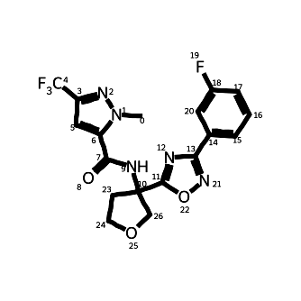 Cn1nc(C(F)(F)F)cc1C(=O)NC1(c2nc(-c3cccc(F)c3)no2)CCOC1